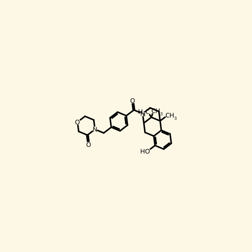 CC12CCN(C(=O)c3ccc(CN4CCOCC4=O)cc3)C(Cc3c(O)cccc31)C2(C)C